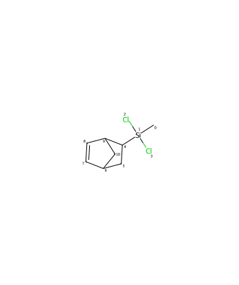 C[Si](Cl)(Cl)C1CC2C=CC1C2